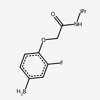 Bc1ccc(OCC(=O)NC(C)C)c(F)c1